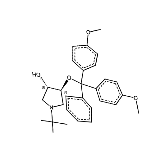 COc1ccc(C(O[C@H]2CN(C(C)(C)C)C[C@@H]2O)(c2ccccc2)c2ccc(OC)cc2)cc1